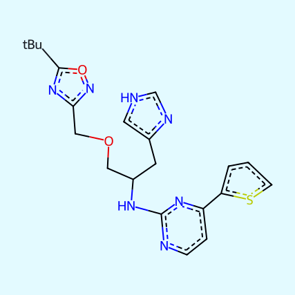 CC(C)(C)c1nc(COCC(Cc2c[nH]cn2)Nc2nccc(-c3cccs3)n2)no1